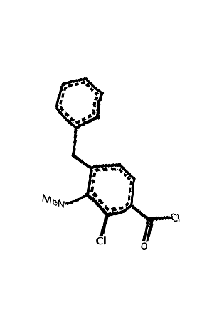 CNc1c(Cc2ccccc2)ccc(C(=O)Cl)c1Cl